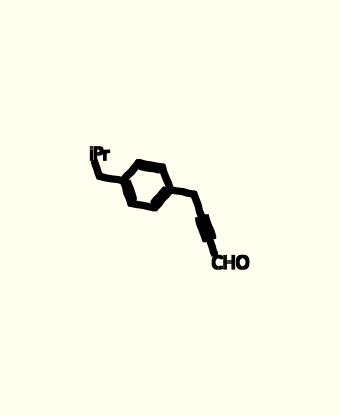 CC(C)Cc1ccc(CC#CC=O)cc1